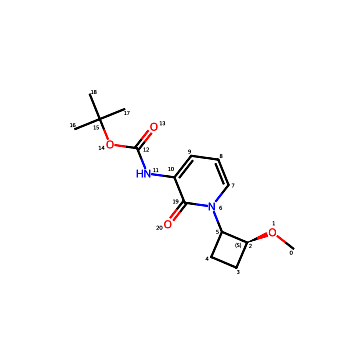 CO[C@H]1CCC1n1cccc(NC(=O)OC(C)(C)C)c1=O